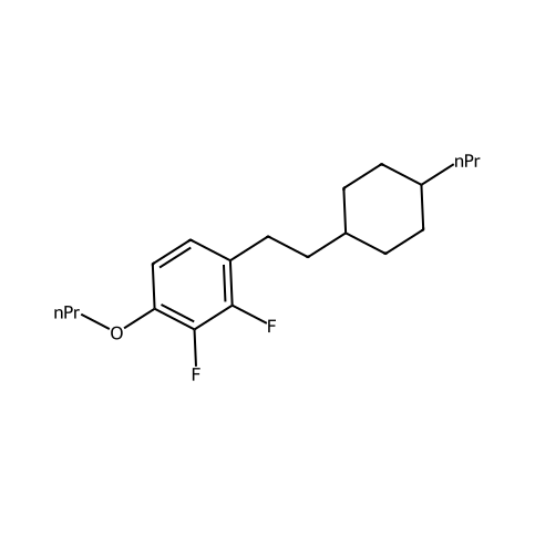 CCCOc1ccc(CCC2CCC(CCC)CC2)c(F)c1F